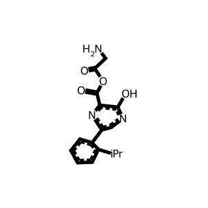 CC(C)c1ccccc1-c1cnc(O)c(C(=O)OC(=O)CN)n1